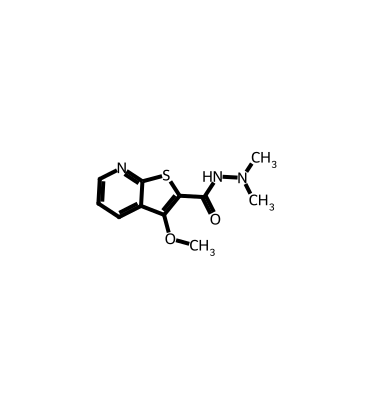 COc1c(C(=O)NN(C)C)sc2ncccc12